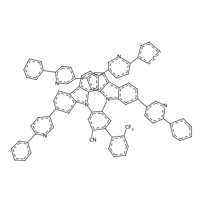 N#Cc1cc(-n2c3cc(-c4ccc(-c5ccccc5)nc4)ccc3c3ccc(-c4ccc(-c5ccccc5)nc4)cc32)c(-n2c3cc(-c4ccc(-c5ccccc5)nc4)ccc3c3ccc(-c4ccc(-c5ccccc5)nc4)cc32)cc1-c1ccccc1C(F)(F)F